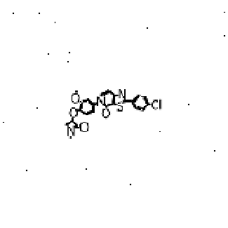 COc1cc(-n2ccc3nc(-c4ccc(Cl)cc4)sc3c2=O)ccc1OC1CN(C)C1=O